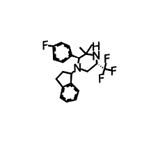 CC1(C)N[C@H](C(F)(F)F)CN(C2CCc3ccccc32)[C@H]1c1ccc(F)cc1